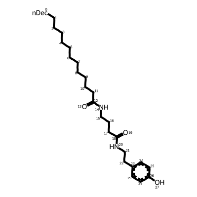 CCCCCCCCCCCCCCCCCCCCCC(=O)NCCCC(=O)NCCc1ccc(O)cc1